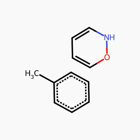 C1=CNOC=C1.Cc1ccccc1